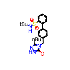 CCCCc1n[nH]c(=O)n1Cc1ccc(-c2ccccc2S(=O)(=O)NC(C)(C)C)cc1